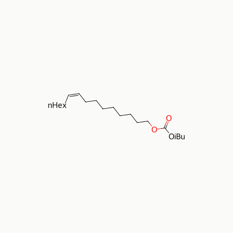 CCCCCC/C=C\CCCCCCCCOC(=O)OCC(C)C